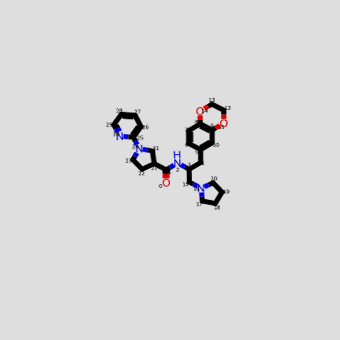 O=C(NC(Cc1ccc2c(c1)OCCO2)CN1CCCC1)C1CCN(c2ccccn2)C1